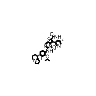 COc1ncccc1-c1c(C(N)=O)sc2cnc(Nc3ccc([C@@H]4CCCN5CCC[C@@H]45)cc3OC(C)C)nc12